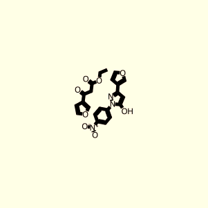 CCOC(=O)CC(=O)c1ccoc1.O=[N+]([O-])c1ccc(-n2nc(-c3ccoc3)cc2O)cc1